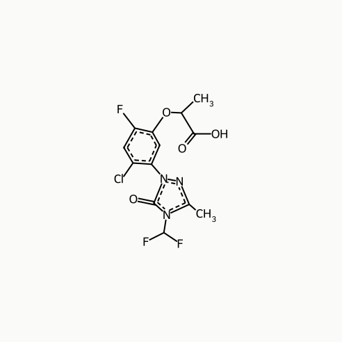 Cc1nn(-c2cc(OC(C)C(=O)O)c(F)cc2Cl)c(=O)n1C(F)F